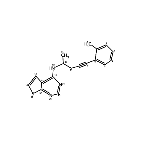 Cc1ccccc1C#CCC(C)Nc1ncnc2sccc12